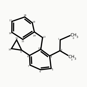 CCC(C)c1[c]ccc(C2CC2)c1Cc1ccccc1